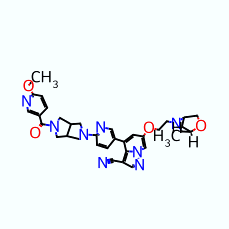 COc1ccc(C(=O)N2CC3CN(c4ccc(-c5cc(OCCN6C[C@H]7OCC6[C@@H]7C)cn6ncc(C#N)c56)cn4)CC3C2)cn1